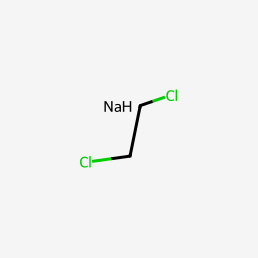 ClCCCl.[NaH]